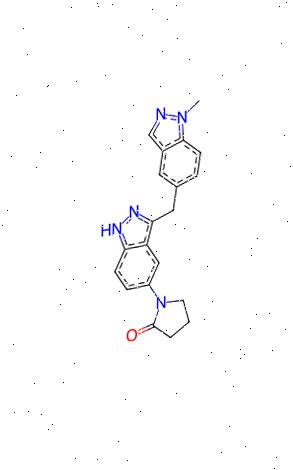 Cn1ncc2cc(Cc3n[nH]c4ccc(N5CCCC5=O)cc34)ccc21